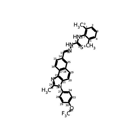 Cc1cccc(C)c1NC(=S)NN=Cc1ccc2c(ccc3c2nc(C)n3-c2ccc(OC(F)(F)F)cc2)c1